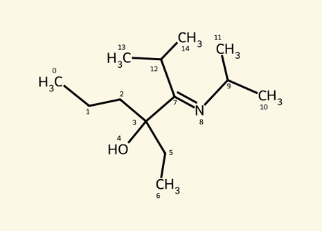 CCCC(O)(CC)/C(=N/C(C)C)C(C)C